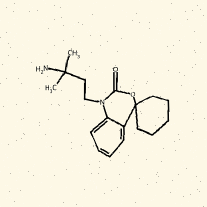 CC(C)(N)CCN1C(=O)OC2(CCCCC2)c2ccccc21